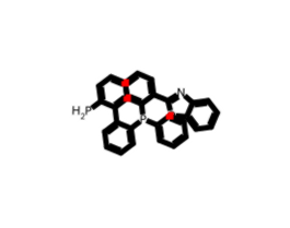 Pc1ccccc1-c1ccccc1P(c1ccccc1)c1ccccc1-c1nc2ccccc2o1